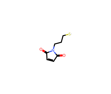 O=C1C=CC(=O)N1CCC[S]